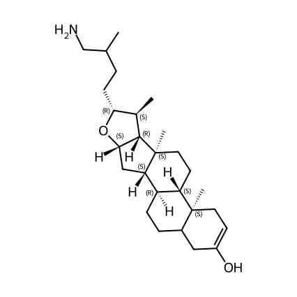 CC(CN)CC[C@H]1O[C@H]2C[C@H]3[C@@H]4CCC5CC(O)=CC[C@]5(C)[C@H]4CC[C@]3(C)[C@H]2[C@@H]1C